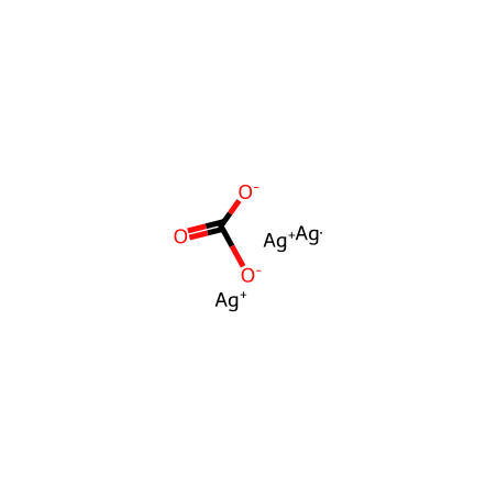 O=C([O-])[O-].[Ag+].[Ag+].[Ag]